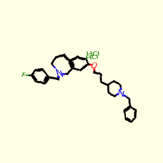 Cl.Cl.Fc1ccc(CN2CCCc3ccc(OCCCC4CCN(Cc5ccccc5)CC4)cc3C2)cc1